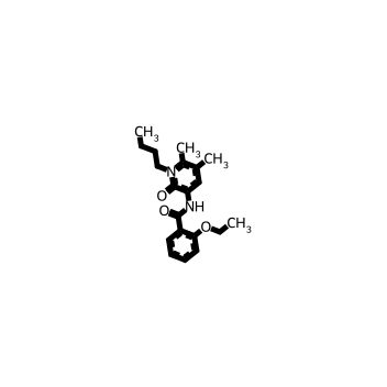 CCCCn1c(C)c(C)cc(NC(=O)c2ccccc2OCC)c1=O